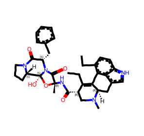 CCC1=C2c3c(CC)ccc4[nH]cc(c34)C[C@H]2N(C)C[C@@H]1C(=O)N[C@]1(C)O[C@@]2(O)[C@@H]3CCCN3C(=O)[C@H](Cc3ccccc3)N2C1=O